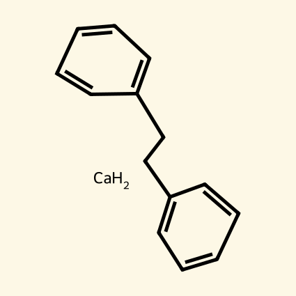 [CaH2].c1ccc(CCc2ccccc2)cc1